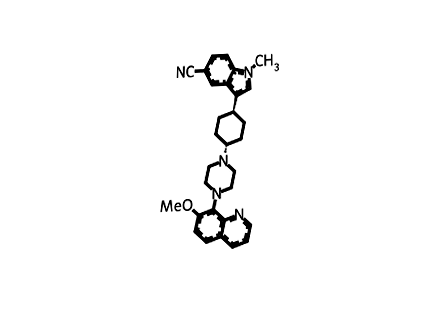 COc1ccc2cccnc2c1N1CCN([C@H]2CC[C@H](c3cn(C)c4ccc(C#N)cc43)CC2)CC1